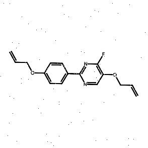 C=CCOc1ccc(-c2ncc(OCC=C)c(F)n2)cc1